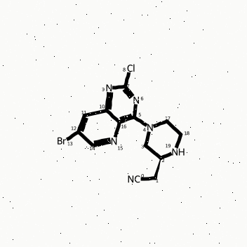 N#CC[C@H]1CN(c2nc(Cl)nc3cc(Br)cnc23)CCN1